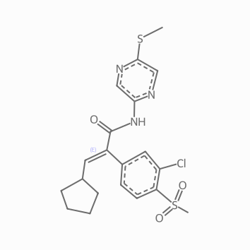 CSc1cnc(NC(=O)/C(=C/C2CCCC2)c2ccc(S(C)(=O)=O)c(Cl)c2)cn1